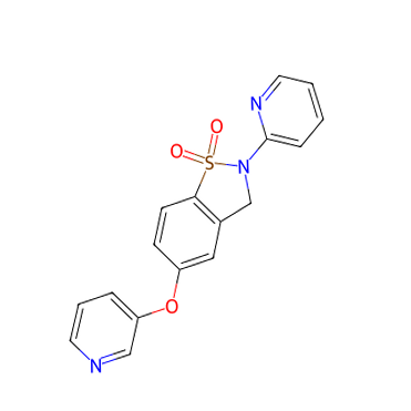 O=S1(=O)c2ccc(Oc3cccnc3)cc2CN1c1ccccn1